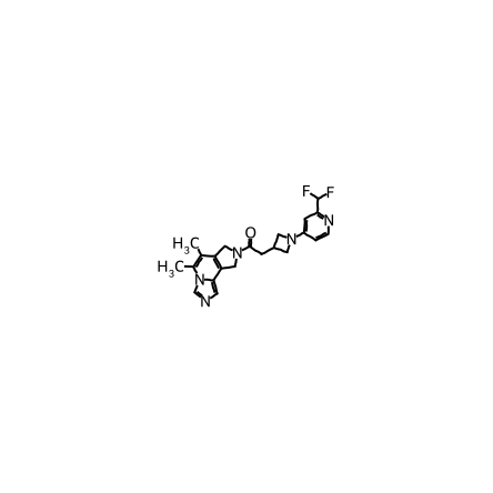 Cc1c2c(c3cncn3c1C)CN(C(=O)CC1CN(c3ccnc(C(F)F)c3)C1)C2